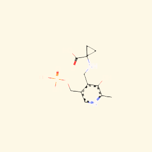 Cc1ncc(COP(=O)(O)O)c(CNC2(C(=O)O)CC2)c1O